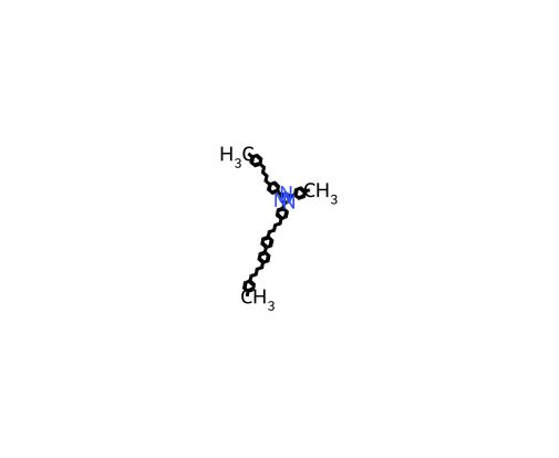 Cc1ccc(CCCCc2ccc(-c3ccc(CCCCc4ccc(-c5nc(-c6ccc(C)cc6)nc(-c6ccc(CCCCc7ccc(C)cc7)cc6)n5)cc4)cc3)cc2)cc1